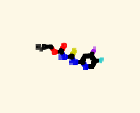 CCOC(=O)NC(=S)Nc1cc(I)c(F)cn1